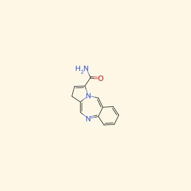 NC(=O)C1=CCC2=CN=c3ccccc3=CN21